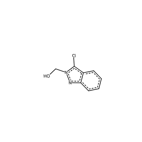 OCn1nc2ccccc2c1Cl